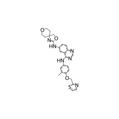 Cc1cc(Nc2ncnc3ccc(NC4=NC5(CCOCC5)CO4)cc23)ccc1OCc1nccs1